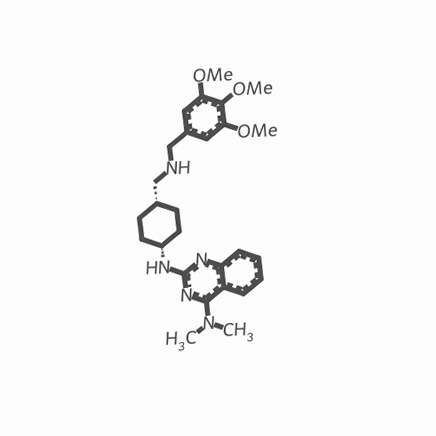 COc1cc(CNC[C@H]2CC[C@@H](Nc3nc(N(C)C)c4ccccc4n3)CC2)cc(OC)c1OC